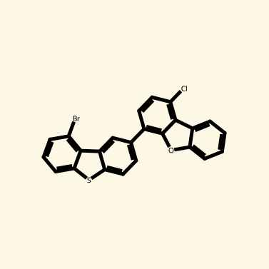 Clc1ccc(-c2ccc3sc4cccc(Br)c4c3c2)c2oc3ccccc3c12